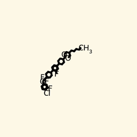 CCCCCC1COC(C2CCC(c3ccc(C4CCC(C(F)(F)Oc5ccc(Cl)c(F)c5)CC4)c(F)c3)CC2)OC1